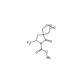 CC(C)(C)OC(=O)N1C(=O)C(CC=O)(CC=O)CC1C(F)(F)F